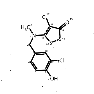 CN(Cc1ccc(O)c(Cl)c1)c1ssc(=O)c1Cl